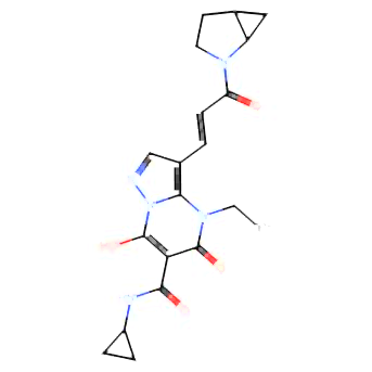 CC(C)Cn1c(=O)c(C(=O)NC2CC2)c(O)n2ncc(C=CC(=O)N3CCC4CC43)c12